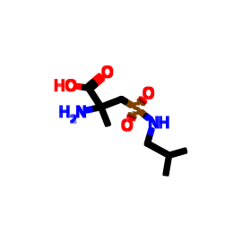 CC(C)CNS(=O)(=O)CC(C)(N)C(=O)O